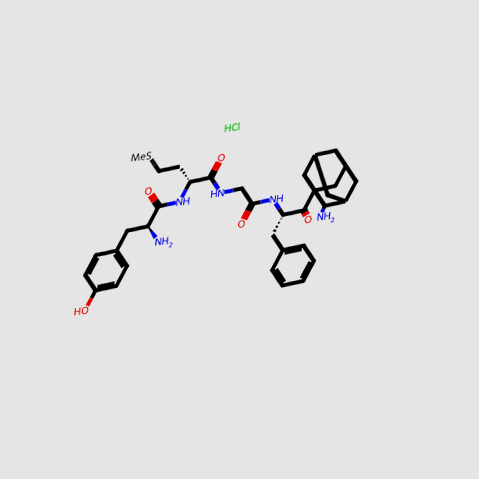 CSCC[C@@H](NC(=O)[C@@H](N)Cc1ccc(O)cc1)C(=O)NCC(=O)N[C@@H](Cc1ccccc1)C(=O)C12CC3CC(CC(C3)C1N)C2.Cl